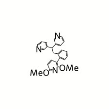 COc1ccc(-c2ccccc2CC(c2cccnc2)c2cccnc2)c(OC)n1